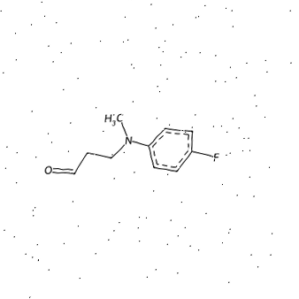 CN(CCC=O)c1ccc(F)cc1